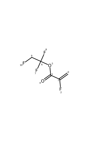 C=C(F)C(=O)OC(F)(F)CF